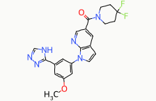 COc1cc(-c2nnc[nH]2)cc(-n2ccc3cc(C(=O)N4CCC(F)(F)CC4)cnc32)c1